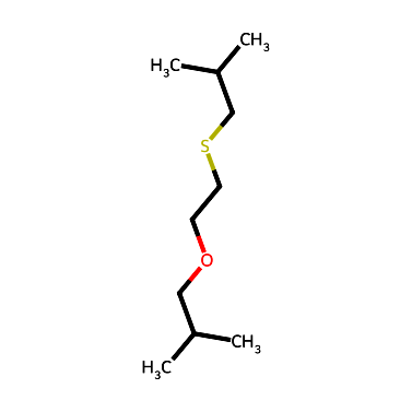 CC(C)COCCSCC(C)C